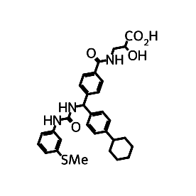 CSc1cccc(NC(=O)NC(c2ccc(C(=O)NCC(O)C(=O)O)cc2)c2ccc(C3CCCCC3)cc2)c1